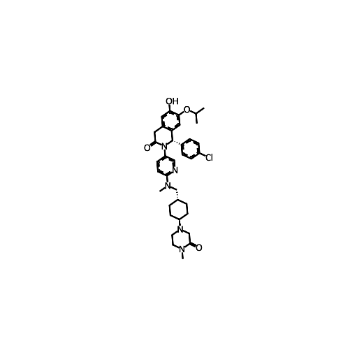 CC(C)Oc1cc2c(cc1O)CC(=O)N(c1ccc(N(C)C[C@H]3CC[C@H](N4CCN(C)C(=O)C4)CC3)nc1)[C@H]2c1ccc(Cl)cc1